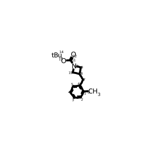 Cc1ccccc1CC1CN(C(=O)OC(C)(C)C)C1